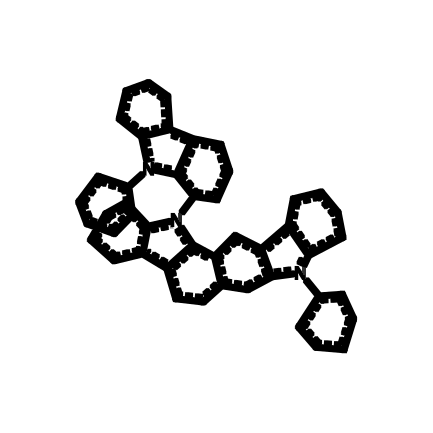 c1ccc(-n2c3ccccc3c3cc4c(ccc5c6ccccc6n(-c6cccc7c8ccccc8n(-c8ccccc8)c67)c45)cc32)cc1